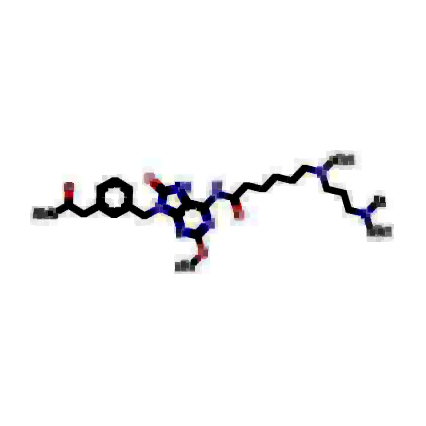 CCCCCCCCN(CC)CCCN(CCCCCCCC)CCCCCC(=O)Nc1nc(OCCCC)nc2c1[nH]c(=O)n2Cc1cccc(CC(=O)OC)c1